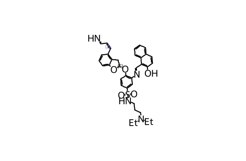 CCN(CC)CCCNS(=O)(=O)c1ccc(O[C@H]2Cc3c(/C=C\C=N)cccc3O2)c(N=Cc2c(O)ccc3ccccc23)c1